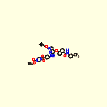 CC(C)(C)OC(=O)N1CCN(S(=O)(=O)c2ccc(Nc3cc(Oc4cccc5c(C(=O)Nc6cccc(C(F)(F)F)c6)cccc45)c4ccn(COCC[Si](C)(C)C)c4n3)cc2)CC1